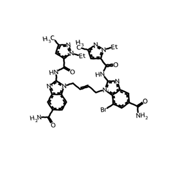 CCn1nc(C)cc1C(=O)Nc1nc2cc(C(N)=O)ccc2n1C/C=C/Cn1c(NC(=O)c2cc(C)nn2CC)nc2cc(C(N)=O)cc(Br)c21